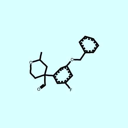 CC1CC(C=O)(c2cc(F)cc(OCc3ccccc3)c2)CCO1